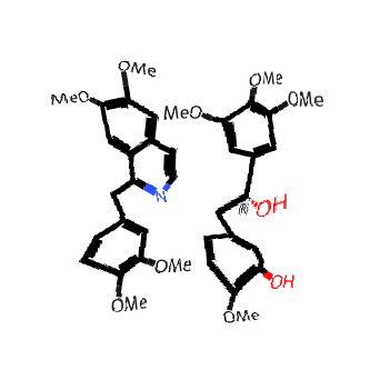 COc1ccc(C[C@@H](O)c2cc(OC)c(OC)c(OC)c2)cc1O.COc1ccc(Cc2nccc3cc(OC)c(OC)cc23)cc1OC